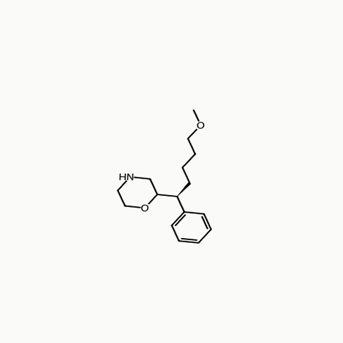 COCCCC[C@@H](c1ccccc1)C1CNCCO1